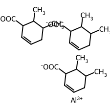 CC1CC=CC(C(=O)[O-])C1C.CC1CC=CC(C(=O)[O-])C1C.CC1CC=CC(C(=O)[O-])C1C.[Al+3]